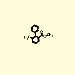 COC(=O)c1cccc(C)c1-c1ncccn1